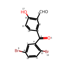 O=Cc1cc(C(=O)c2cc(Br)ccc2Br)ccc1O